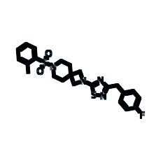 Cc1ccccc1S(=O)(=O)N1CCC2(CC1)CN(c1nc(Cc3ccc(F)cc3)ns1)C2